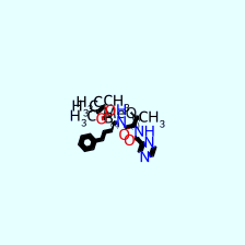 CO[C@@H](C)[C@@H](NC(=O)c1cnccn1)C(=O)N[C@@H](CCCc1ccccc1)B1OC(C)(C)C(C)(C)O1